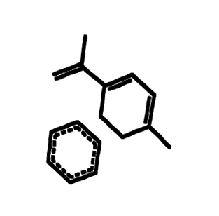 C=C(C)C1=CC=C(C)CC1.c1ccccc1